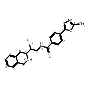 Cc1nnc(-c2ccc(C(=O)NCC(O)C3Cc4ccccc4CN3)cc2)o1